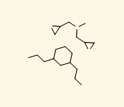 CCCC1CCCC(CCC)C1.CN(CC1CO1)CC1CO1